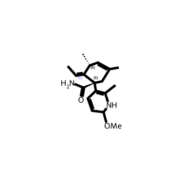 C/C=C1\[C@H](C)C=C(C)C[C@]1(C(N)=O)C1=C(C)NC(OC)C=C1